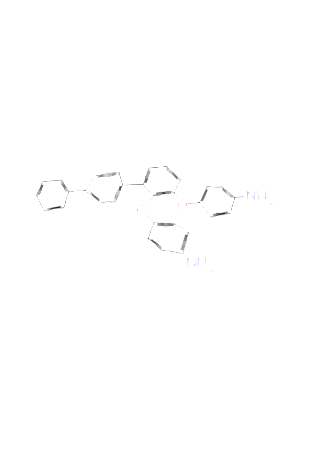 Nc1ccc(Oc2cccc(-c3ccc(-c4ccccc4)cc3)c2Oc2ccc(N)cc2)cc1